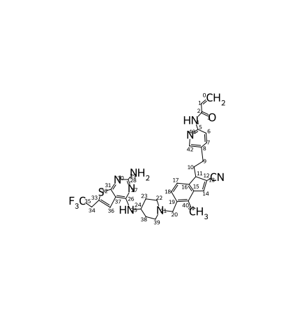 C=CC(=O)Nc1ccc(CCC2C(C#N)=Cc3c2ccc(CN2CCC(Nc4nc(N)nc5sc(CC(F)(F)F)cc45)CC2)c3C)cn1